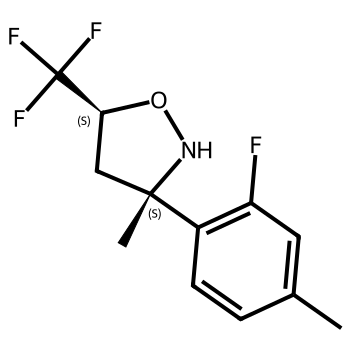 Cc1ccc([C@]2(C)C[C@@H](C(F)(F)F)ON2)c(F)c1